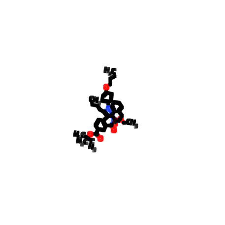 CCCCOc1ccc(-n2nc(C(=O)OCC)c(-c3ccc(C(=O)OC(C)(C)C)cc3C(=O)N3CCc4ccccc4C3)c2CCCC)cc1